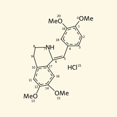 COc1ccc(/C=C2\NCCc3cc(OC)c(OC)cc32)cc1OC.Cl